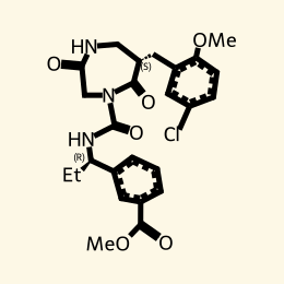 CC[C@@H](NC(=O)N1CC(=O)NC[C@H](Cc2cc(Cl)ccc2OC)C1=O)c1cccc(C(=O)OC)c1